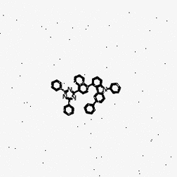 c1ccc(-c2ccc3c(c2)c2c(-c4ccc(-c5nc(-c6ccccc6)nc(-c6ccccc6)n5)c5ccccc45)cccc2n3-c2ccccc2)cc1